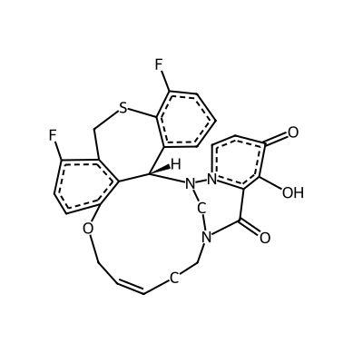 O=C1c2c(O)c(=O)ccn2N2CN1CC/C=C\COc1ccc(F)c3c1[C@@H]2c1cccc(F)c1SC3